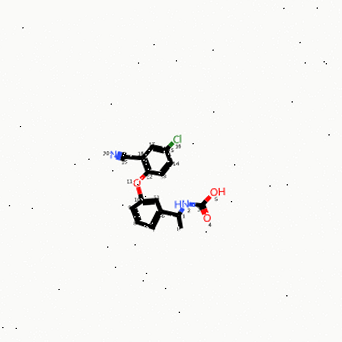 CC(NC(=O)O)c1cccc(Oc2ccc(Cl)cc2C#N)c1